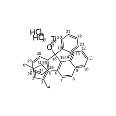 CC1=CC(C)=C(c2ccc3ccccc3c2C([O][Ti])(c2ccccc2)c2ccccc2)C1.Cl.Cl